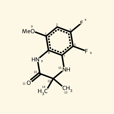 COc1cc(F)c(F)c2c1NC(=O)C(C)(C)N2